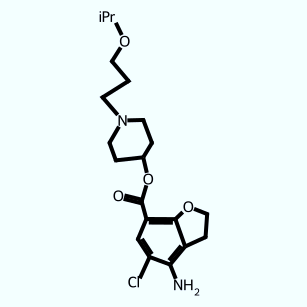 CC(C)OCCCN1CCC(OC(=O)c2cc(Cl)c(N)c3c2OCC3)CC1